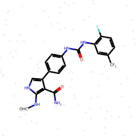 NC(=O)c1c(-c2ccc(NC(=O)Nc3cc(C(F)(F)F)ccc3F)cc2)c[nH]c1NC=O